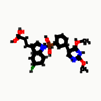 COc1ncc(-c2cccc(S(=O)(=O)n3cc(CCC(=O)O)c4cc(F)ccc43)c2)c(OC)n1